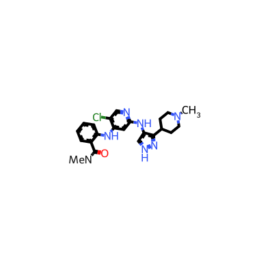 CNC(=O)c1ccccc1Nc1cc(Nc2c[nH]nc2C2CCN(C)CC2)ncc1Cl